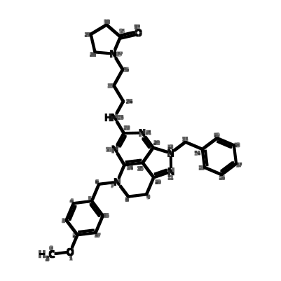 COc1ccc(CN2CCc3nn(Cc4ccccc4)c4nc(NCCCN5CCCC5=O)nc2c34)cc1